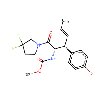 CC=C[C@@H](c1ccc(Br)cc1)[C@H](NC(=O)OC(C)(C)C)C(=O)N1CCC(F)(F)C1